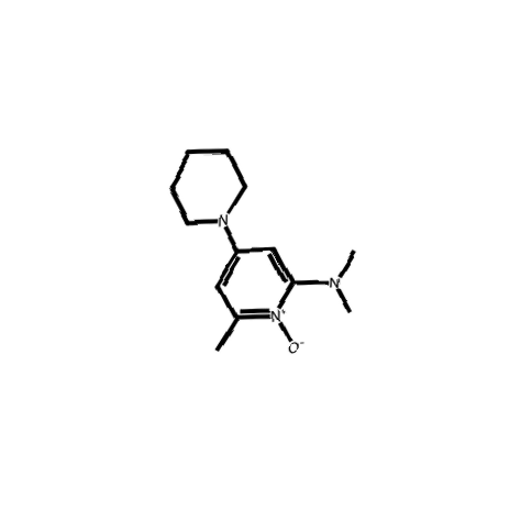 Cc1cc(N2CCCCC2)cc(N(C)C)[n+]1[O-]